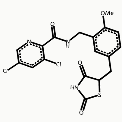 COc1ccc(CC2SC(=O)NC2=O)cc1CNC(=O)c1ncc(Cl)cc1Cl